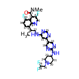 CNC(=O)c1c(F)cnc2c([C@H](C)CNc3cc(-c4cnc(NC5CCN(CC(F)F)CC5)nc4)ncn3)ccc(F)c12